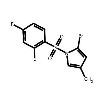 [CH2]c1cc(Br)n(S(=O)(=O)c2ccc(F)cc2F)c1